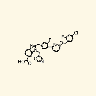 O=C(O)c1ccc2nc(Cc3ccc(-c4cccc(OCc5ccc(Cl)cc5F)n4)c(F)c3)n(Cc3cnco3)c2c1